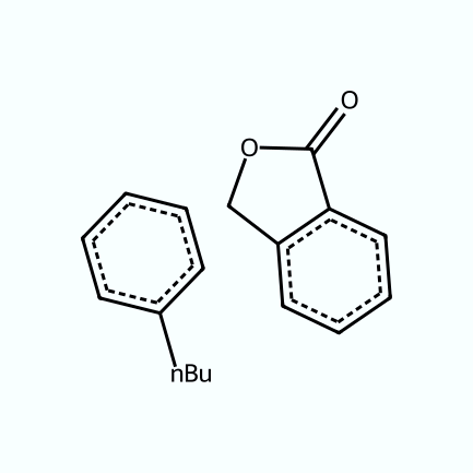 CCCCc1ccccc1.O=C1OCc2ccccc21